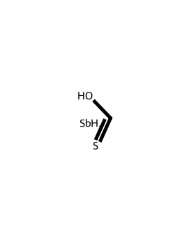 OC=S.[SbH3]